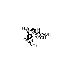 Cc1nc2ccc(CN(C)c3ccc(C(=O)N[C@@H](CCO)C(=O)O)s3)cc2c(=O)[nH]1